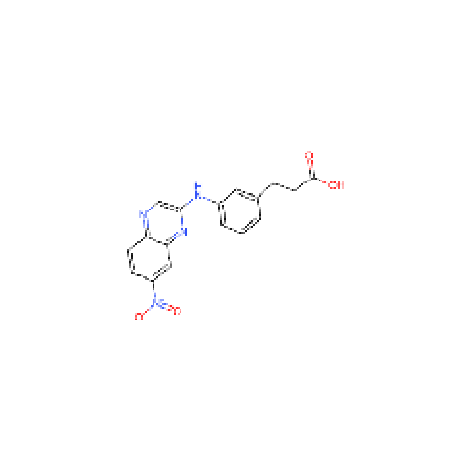 O=C(O)CCc1cccc(Nc2cnc3ccc([N+](=O)[O-])cc3n2)c1